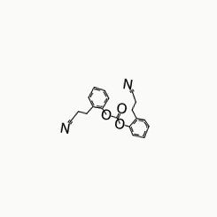 N#CCCc1ccccc1OC(=O)Oc1ccccc1CCC#N